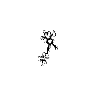 COC(=O)c1cc(C#N)c(C#CCO[Si](C)(C)C(C)(C)C)cc1C(=O)OC